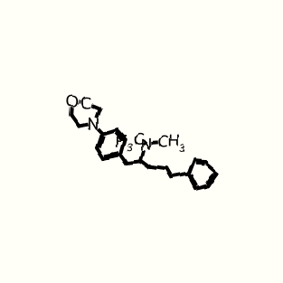 CN(C)C(CCCc1ccccc1)Cc1ccc(N2CCOCC2)cc1